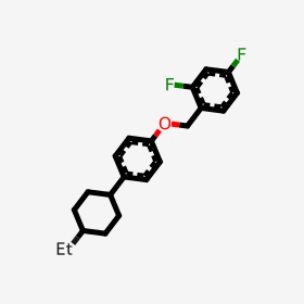 CCC1CCC(c2ccc(OCc3ccc(F)cc3F)cc2)CC1